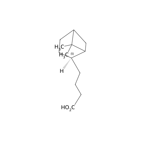 CC1(C)C2CC[C@H](CCCC(=O)O)C1C2